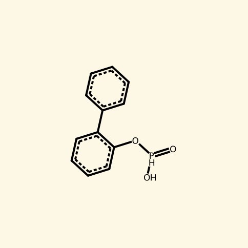 O=[PH](O)Oc1ccccc1-c1ccccc1